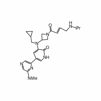 CNc1cncc(-c2c[nH]c(=O)c(N(CC3CC3)C3CN(C(=O)C=CCNC(C)C)C3)c2)n1